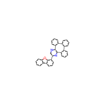 c1ccc2c(c1)-c1ccccc1-c1ncc(-c3cccc4c3oc3ccccc34)nc1-c1ccccc1-2